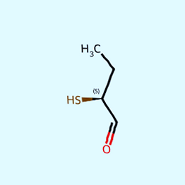 CC[C@H](S)C=O